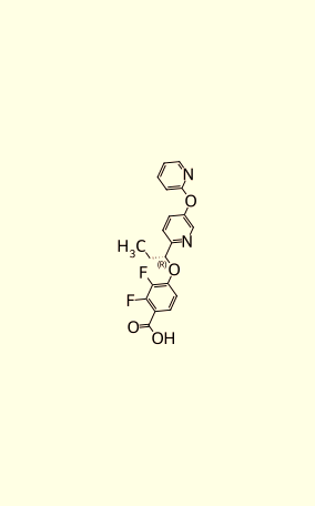 CC[C@@H](Oc1ccc(C(=O)O)c(F)c1F)c1ccc(Oc2ccccn2)cn1